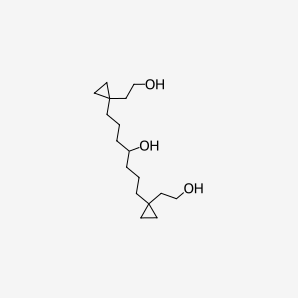 OCCC1(CCCC(O)CCCC2(CCO)CC2)CC1